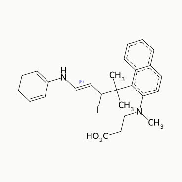 CN(CCC(=O)O)c1ccc2ccccc2c1C(C)(C)C(I)/C=C/NC1=CCCC=C1